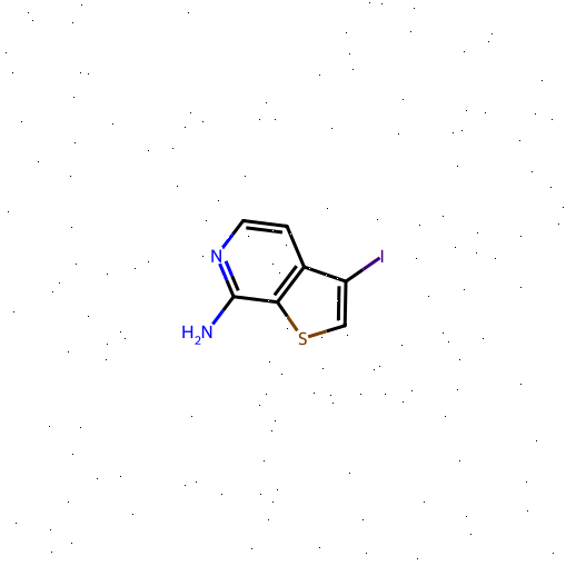 Nc1nccc2c(I)csc12